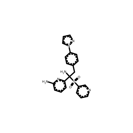 Nc1cccc(C(N)(Cc2ccc(-n3cccn3)cc2)S(=O)(=O)c2cccnc2)n1